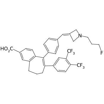 O=C(O)c1ccc2c(c1)CCCC(c1ccc(C(F)(F)F)c(C(F)(F)F)c1)=C2c1ccc(C=C2CN(CCCF)C2)cc1